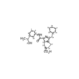 CC(O)c1cccc(NC(=O)c2nc(Cc3ccccc3)n3c2CN(C(=O)O)CC3)c1